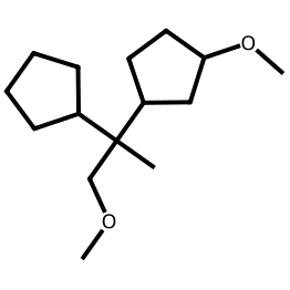 COCC(C)(C1CCCC1)C1CCC(OC)C1